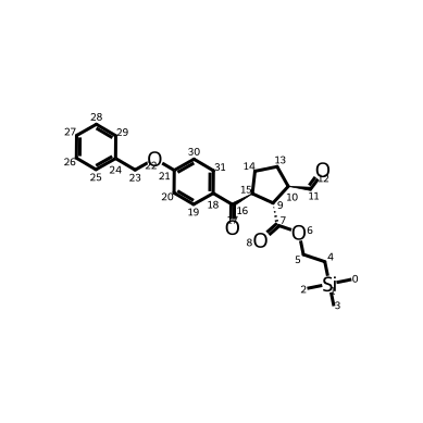 C[Si](C)(C)CCOC(=O)[C@H]1[C@H](C=O)CC[C@@H]1C(=O)c1ccc(OCc2ccccc2)cc1